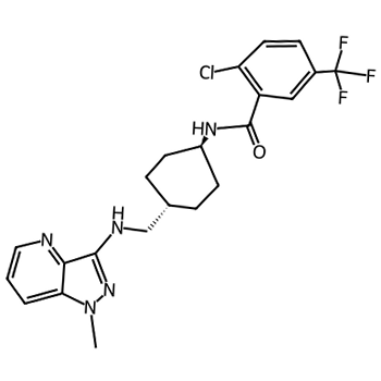 Cn1nc(NC[C@H]2CC[C@H](NC(=O)c3cc(C(F)(F)F)ccc3Cl)CC2)c2ncccc21